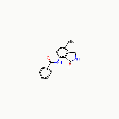 CCCCc1ccc(NC(=O)c2ccccc2)c2c1CNC2=O